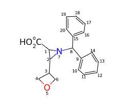 O=C(O)C1C(C2COC2)N1C(c1ccccc1)c1ccccc1